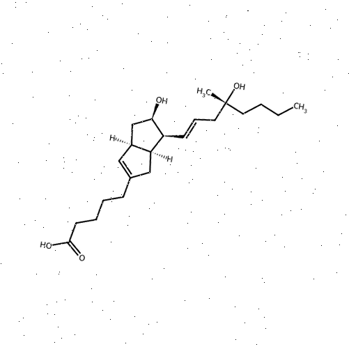 CCCC[C@@](C)(O)C/C=C/[C@H]1[C@H]2CC(CCCCC(=O)O)=C[C@H]2C[C@H]1O